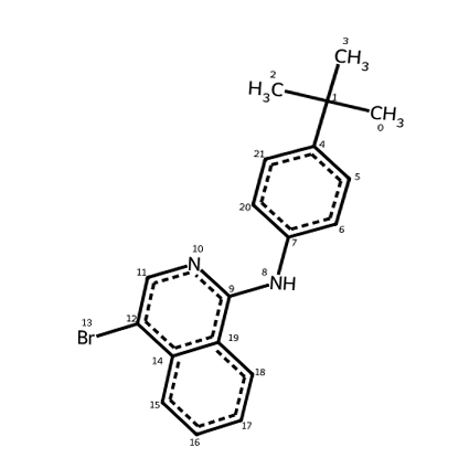 CC(C)(C)c1ccc(Nc2ncc(Br)c3ccccc23)cc1